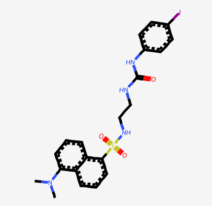 CN(C)c1cccc2c(S(=O)(=O)NCCNC(=O)Nc3ccc(I)cc3)cccc12